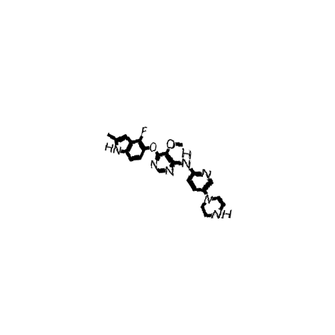 COc1c(Nc2ccc(N3CCNCC3)cn2)ncnc1Oc1ccc2[nH]c(C)cc2c1F